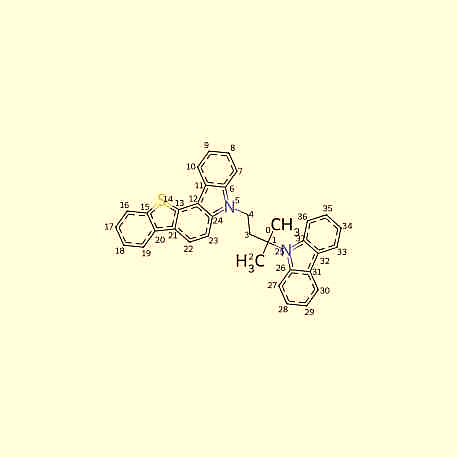 CC(C)(CCn1c2ccccc2c2c3sc4ccccc4c3ccc21)n1c2ccccc2c2ccccc21